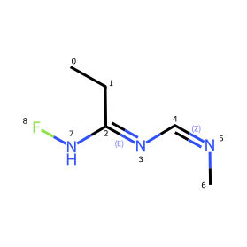 CC/C(=N\C=N/C)NF